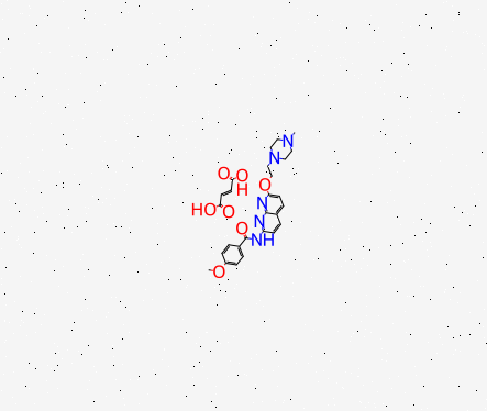 COc1ccc(C(=O)Nc2ccc3ccc(OCCN4CCN(C)CC4)nc3n2)cc1.O=C(O)/C=C/C(=O)O